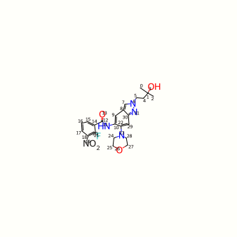 CC(C)(O)CCn1cc2cc(NC(=O)c3cccc([N+](=O)[O-])c3F)c(N3CCOCC3)cc2n1